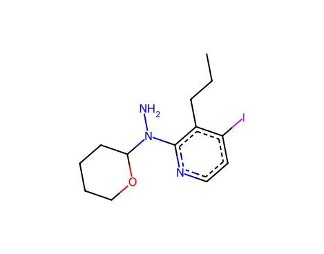 CCCc1c(I)ccnc1N(N)C1CCCCO1